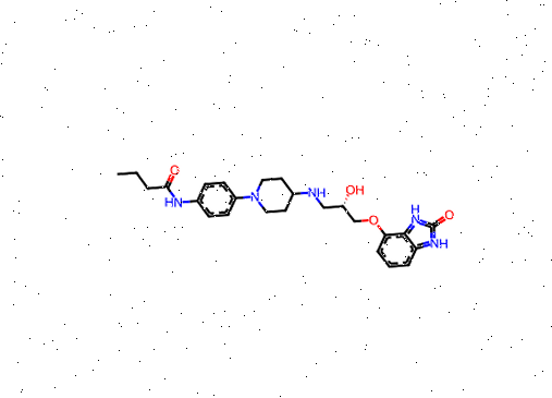 CCCC(=O)Nc1ccc(N2CCC(NC[C@H](O)COc3cccc4[nH]c(=O)[nH]c34)CC2)cc1